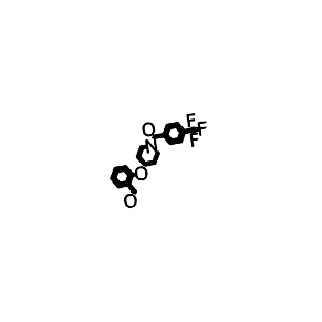 O=Cc1ccccc1OC1CCN(C(=O)c2ccc(C(F)(F)F)cc2)CC1